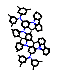 Cc1cc(C)cc(N(c2cc(C)cc(C)c2)c2cc3c4c(c2)-n2c5ccccc5c5cccc(c52)B4c2cc4c5c6c2N3c2cc(C)ccc2B6c2ccc(C)cc2N5c2cc(N(c3cc(C)cc(C)c3)c3cc(C)cc(C)c3)cc3c2B4c2cccc4c5ccccc5n-3c24)c1